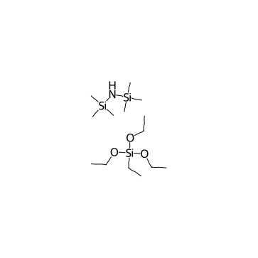 CCO[Si](CC)(OCC)OCC.C[Si](C)(C)N[Si](C)(C)C